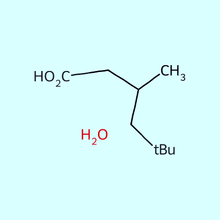 CC(CC(=O)O)CC(C)(C)C.O